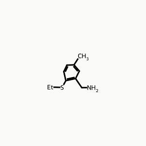 CCSc1ccc(C)cc1CN